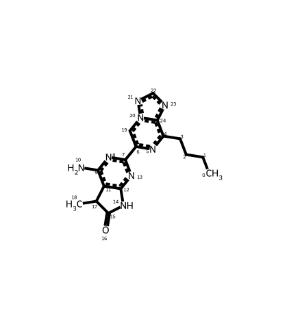 CCCCc1nc(-c2nc(N)c3c(n2)NC(=O)C3C)cn2ncnc12